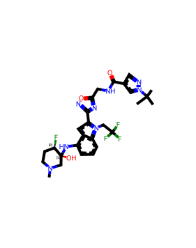 CN1CC[C@@H](F)[C@](O)(Nc2cccc3c2cc(-c2noc(CNC(=O)c4cnn(C(C)(C)C)c4)n2)n3CC(F)(F)F)C1